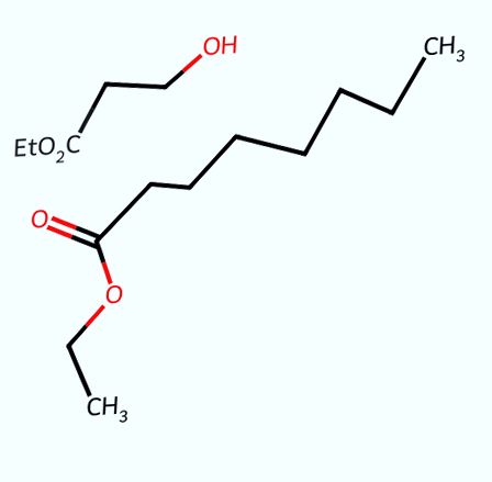 CCCCCCCC(=O)OCC.CCOC(=O)CCO